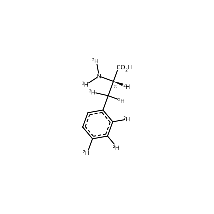 [2H]c1ccc(C([2H])([2H])[C@@]([2H])(C(=O)O)N([2H])[2H])c([2H])c1[2H]